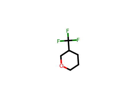 FC(F)(F)[C]1CCCOC1